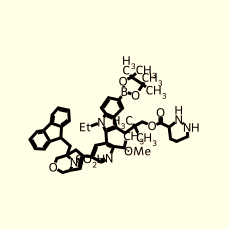 CCn1c(-c2cc(C3=CC4COCC(CC5c6ccccc6-c6ccccc65)(C3)N4C(=O)O)cnc2[C@H](C)OC)c(CC(C)(C)COC(=O)C2CCCNN2)c2cc(B3OC(C)(C)C(C)(C)O3)ccc21